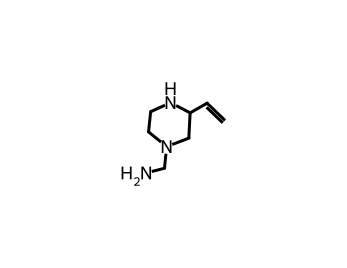 C=CC1CN(CN)CCN1